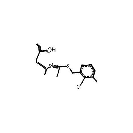 C=C(O)/C=C(C)\N=C(/C)SCc1cccc(C)c1Cl